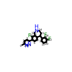 Cc1ccc(-c2ccc3c(c2F)CNCCC3c2cccc(F)c2F)nn1